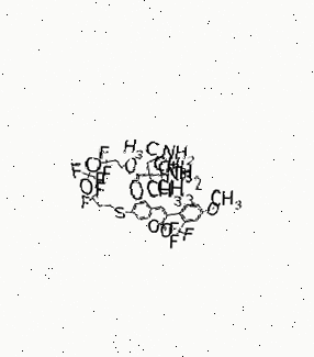 COc1ccc(-c2cc3ccc(SCCC(F)(F)OC(F)(F)OC(F)(F)CCOC(=O)C(C)(CC(C)(C)N)C(C)(C)N)cc3oc2=O)c(C(F)(F)F)c1